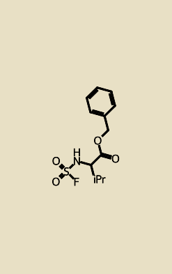 CC(C)C(NS(=O)(=O)F)C(=O)OCc1ccccc1